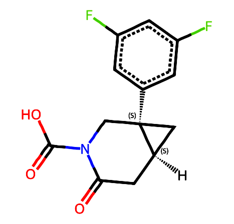 O=C(O)N1C[C@@]2(c3cc(F)cc(F)c3)C[C@H]2CC1=O